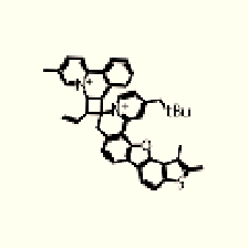 C=CC1C2C(c3ccccc3-c3ccc(C)c[n+]32)C12Cc1ccc3c(oc4c3ccc3sc(C)c(C)c34)c1-c1cc(CC(C)(C)C)cc[n+]12